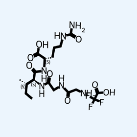 CC[C@H](C)[C@H](NC(=O)CNC(=O)CN)C(=O)N[C@@H](CCCNC(N)=O)C(=O)O.O=C(O)C(F)(F)F